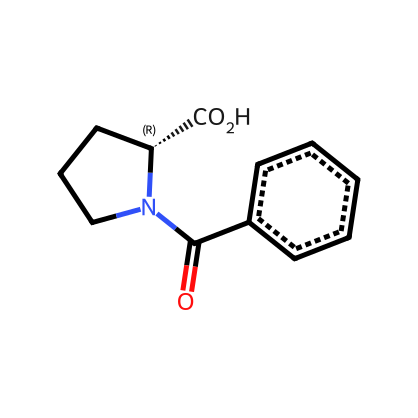 O=C(O)[C@H]1CCCN1C(=O)c1ccccc1